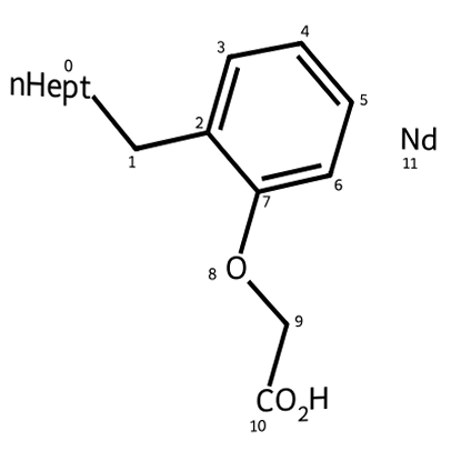 CCCCCCCCc1ccccc1OCC(=O)O.[Nd]